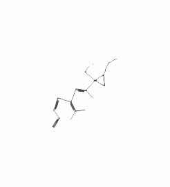 C=C/C=C\C(/C=C(\C)C1(CN)CC1CC)=C(C)C